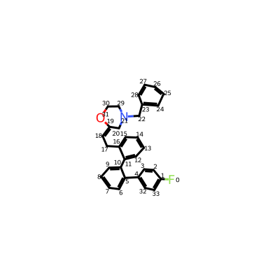 Fc1ccc(-c2ccccc2-c2ccccc2C/C=C2\CN(Cc3ccccc3)CCO2)cc1